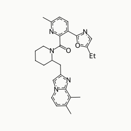 CCc1cnc(-c2ccc(C)nc2C(=O)N2CCCCC2Cc2cn3ccc(C)c(C)c3n2)o1